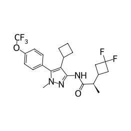 C[C@@H](C(=O)Nc1nn(C)c(-c2ccc(OC(F)(F)F)cc2)c1C1CCC1)C1CC(F)(F)C1